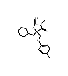 CC1C=CC(OCC2(CC3CCCCC3)NC(=N)N(C)C2=O)=CC1